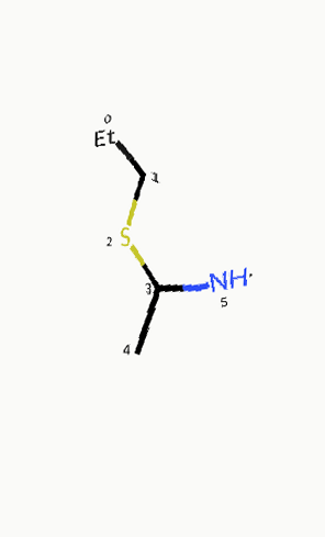 CCCSC(C)[NH]